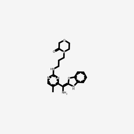 Cc1cnc(NCCCN2CCOCC2=O)nc1/C(N)=C1/Nc2ccccc2O1